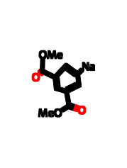 COC(=O)c1c[c]([Na])cc(C(=O)OC)c1